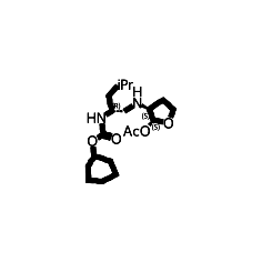 CC(=O)O[C@@H]1OCC[C@@H]1NC[C@@H](CC(C)C)NC(=O)OC1CCCCC1